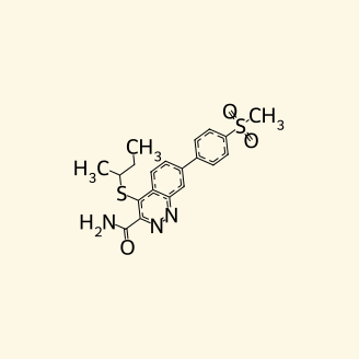 CCC(C)Sc1c(C(N)=O)nnc2cc(-c3ccc(S(C)(=O)=O)cc3)ccc12